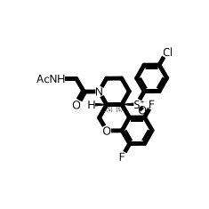 CC(=O)NCC(=O)N1CCC[C@]2([S+]([O-])c3ccc(Cl)cc3)c3c(F)ccc(F)c3OC[C@H]12